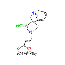 CCCCCCCCCCOC(CCN1CCC(CN)(c2ccccc2)CC1)OCCCCCCCCCC.Cl.Cl